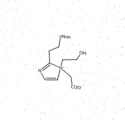 CCCCCCCCCCCC1=NC=C[N+]1(CCO)CC(=O)[O-]